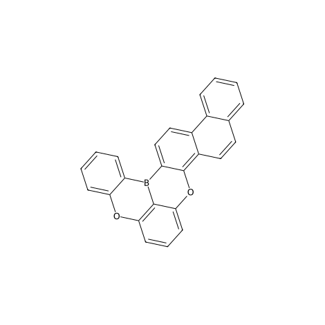 c1ccc2c(c1)Oc1cccc3c1B2c1ccc2c(ccc4ccccc42)c1O3